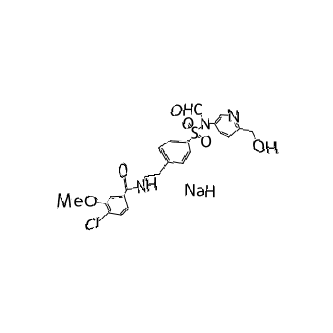 COc1cc(C(=O)NCCc2ccc(S(=O)(=O)N(C=O)c3ccc(CO)nc3)cc2)ccc1Cl.[NaH]